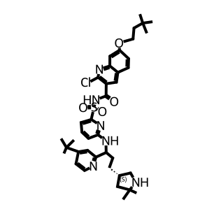 CC(C)(C)CCOc1ccc2cc(C(=O)NS(=O)(=O)c3cccc(NC(CC[C@@H]4CNC(C)(C)C4)c4cc(C(C)(C)C)ccn4)n3)c(Cl)nc2c1